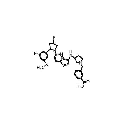 CSc1cc(F)cc(C2CC(F)CN2c2ccc3ncc(NC4CCN(Cc5cccc(C(=O)O)c5)C4)n3n2)c1